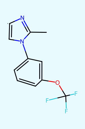 Cc1n[c]cn1-c1cccc(OC(F)(F)F)c1